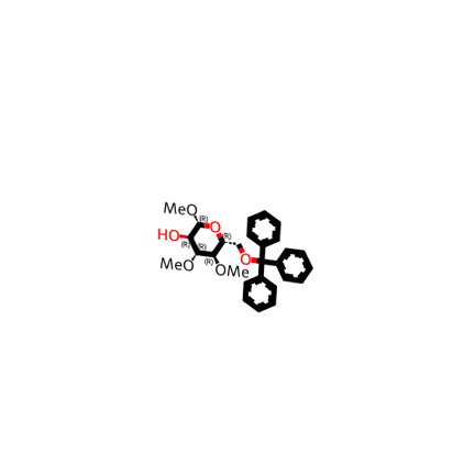 CO[C@@H]1O[C@H](COC(c2ccccc2)(c2ccccc2)c2ccccc2)[C@@H](OC)[C@H](OC)[C@H]1O